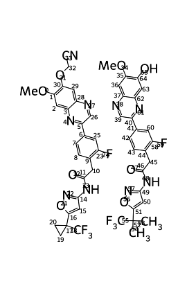 COc1cc2nc(-c3ccc(CC(=O)Nc4cc(C5(C(F)(F)F)CC5)on4)c(F)c3)cnc2cc1OCC#N.COc1cc2ncc(-c3ccc(CC(=O)Nc4cc(C(C)(C)C(F)(F)F)on4)c(F)c3)nc2cc1O